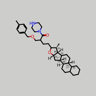 Cc1ccc(COCC(CCC2O[C@H]3C[C@H]4[C@@H]5CCC6CCCC[C@]6(C)[C@H]5CC[C@]4(C)[C@H]3[C@@H]2C)C(=O)N2CCNCC2)cc1